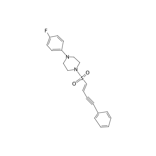 O=S(=O)(C=CC#Cc1ccccc1)N1CCN(c2ccc(F)cc2)CC1